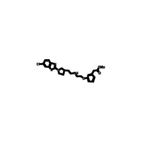 COC(=O)Cc1cccc(OCCNCCC2CCN(c3nc4ccc(Cl)cc4s3)C2)c1